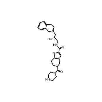 O=C(NC[C@H](O)CN1CCc2ccccc2C1)c1cn2c(n1)CCC(C(=O)N1CCNCC1)C2